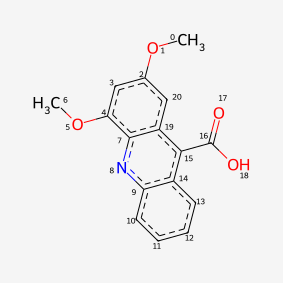 COc1cc(OC)c2nc3ccccc3c(C(=O)O)c2c1